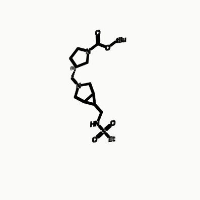 CCS(=O)(=O)NCC1C2CN(C[C@@H]3CCN(C(=O)OC(C)(C)C)C3)CC12